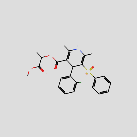 COC(=O)C(C)OC(=O)C1=C(C)NC(C)=C(S(=O)(=O)c2ccccc2)C1c1ccccc1Cl